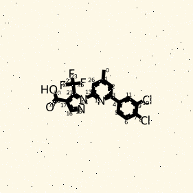 Cc1cc(-c2ccc(Cl)c(Cl)c2)nc(-n2ncc(C(=O)O)c2C(F)(F)F)c1